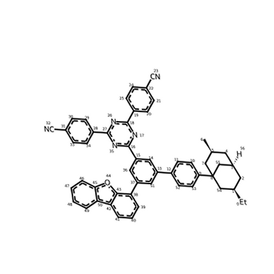 CC[C@@H]1C[C@@H]2C[C@H](C)CC(c3ccc(-c4cc(-c5nc(-c6ccc(C#N)cc6)nc(-c6ccc(C#N)cc6)n5)cc(-c5cccc6c5oc5ccccc56)c4)cc3)(C1)C2